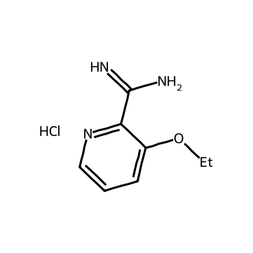 CCOc1cccnc1C(=N)N.Cl